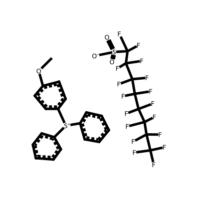 COc1ccc([S+](c2ccccc2)c2ccccc2)cc1.O=S(=O)([O-])C(F)(F)C(F)(F)C(F)(F)C(F)(F)C(F)(F)C(F)(F)C(F)(F)C(F)(F)F